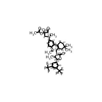 COc1ccc(N(C)CC(C)(C=O)OC(C)=O)cc1C1=C(CN2C(=O)O[C@H](c3cc(C(F)(F)F)cc(C(F)(F)F)c3)[C@@H]2C)CC(C)(C)CC1